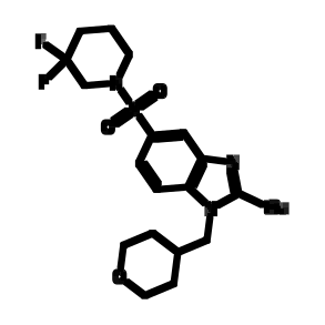 CC(C)(C)c1nc2cc(S(=O)(=O)N3CCCC(F)(F)C3)ccc2n1CC1CCOCC1